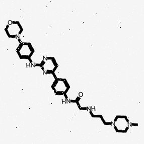 CN1CCN(CCCNCC(=O)Nc2ccc(-c3ccnc(Nc4ccc(N5CCOCC5)cc4)n3)cc2)CC1